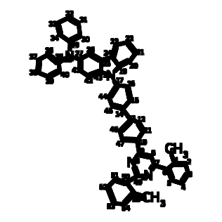 Cc1ccccc1-c1cc(-c2ccc(-c3ccc(-n4c5ccccc5c5cc(N(c6ccccc6)c6ccccc6)ccc54)cc3)cc2)nc(-c2ccccc2C)n1